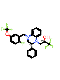 O[C@H](CN1c2ccccc2N(Cc2cc(OC(F)(F)F)ccc2F)C[C@@H]1c1ccccc1)C(F)(F)F